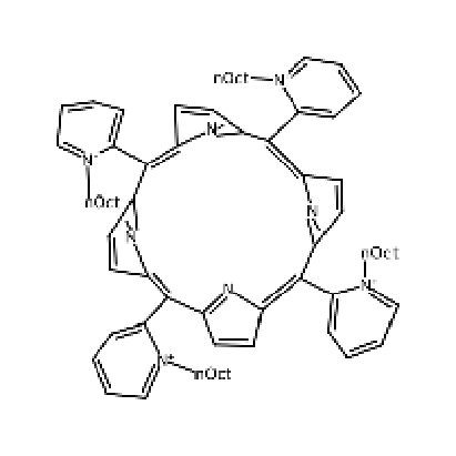 CCCCCCCC[n+]1ccccc1C1=C2C=CC(=N2)C(c2cccc[n+]2CCCCCCCC)=C2C=CC(=N2)C(c2cccc[n+]2CCCCCCCC)=C2C=CC(=N2)C(c2cccc[n+]2CCCCCCCC)=C2C=CC1=N2